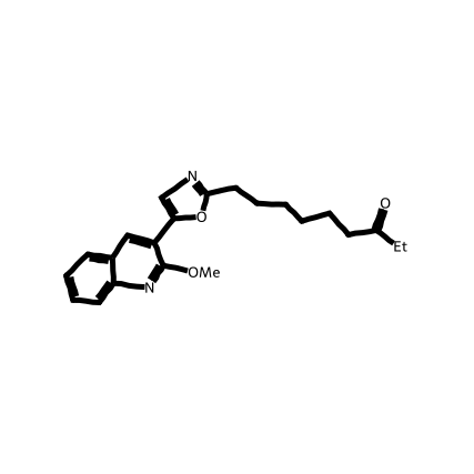 CCC(=O)CCCCCCc1ncc(-c2cc3ccccc3nc2OC)o1